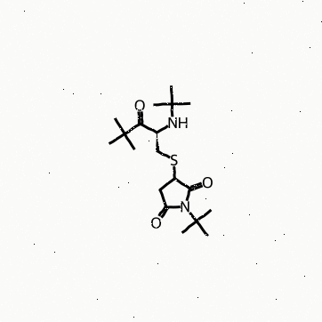 CC(C)(C)N[C@@H](CSC1CC(=O)N(C(C)(C)C)C1=O)C(=O)C(C)(C)C